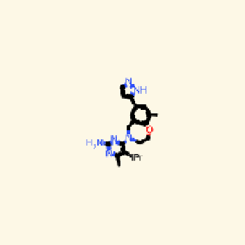 Cc1cc(-c2ccn[nH]2)cc2c1OCCN(c1nc(N)nc(C)c1C(C)C)C2